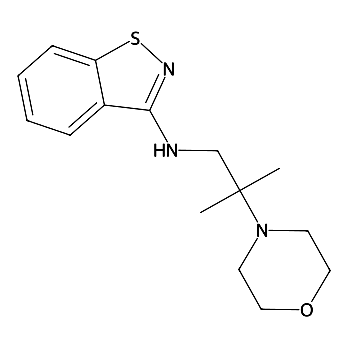 CC(C)(CNc1nsc2ccccc12)N1CCOCC1